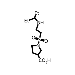 CCC(CC)NCCS(=O)(=O)N1CCC(C(=O)O)C1